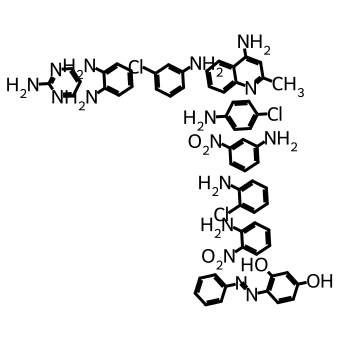 Cc1cc(N)c2ccccc2n1.Nc1ccc(Cl)cc1.Nc1cccc(Cl)c1.Nc1cccc([N+](=O)[O-])c1.Nc1ccccc1Cl.Nc1ccccc1N.Nc1ccccc1[N+](=O)[O-].Nc1ncccn1.Oc1ccc(N=Nc2ccccc2)c(O)c1